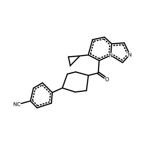 N#Cc1ccc(C2CCC(C(=O)c3c(C4CC4)ccc4cncn34)CC2)cc1